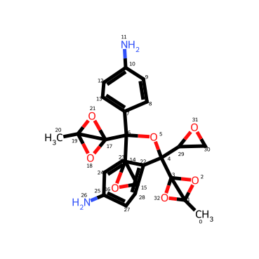 CC12OC1(C(OC(c1ccc(N)cc1)(C1CO1)C13OC1(C)O3)(c1ccc(N)cc1)C1CO1)O2